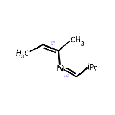 C/C=C(C)\N=C/C(C)C